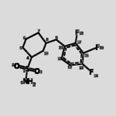 NS(=O)(=O)C1CCCC(Cc2ccc(F)c(F)c2F)C1